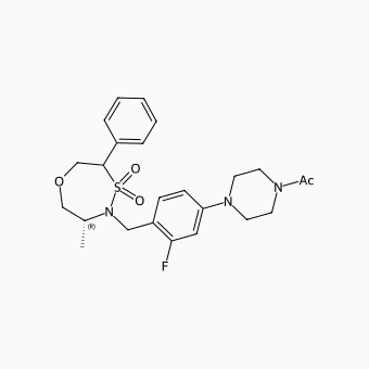 CC(=O)N1CCN(c2ccc(CN3[C@H](C)COCC(c4ccccc4)S3(=O)=O)c(F)c2)CC1